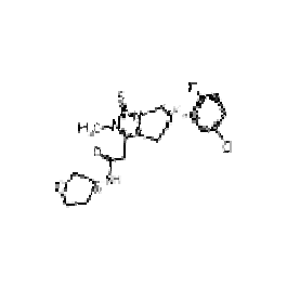 Cn1c(CC(=O)N[C@@H]2CCOC2)c2n(c1=S)C[C@H](c1cc(Cl)ccc1F)C2